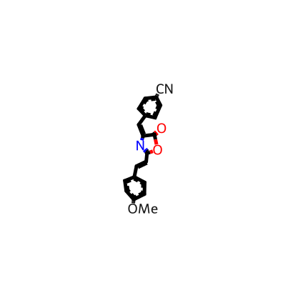 COc1ccc(C=CC2=NC(=Cc3ccc(C#N)cc3)C(=O)O2)cc1